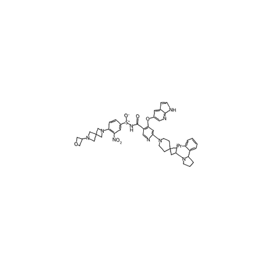 CC(C)c1ccccc1C1CCCN1C1CC2(CCN(c3cc(Oc4cnc5[nH]ccc5c4)c(C(=O)N[S+]([O-])c4ccc(N5CC6(C5)CN(C5COC5)C6)c([N+](=O)[O-])c4)cn3)CC2)C1